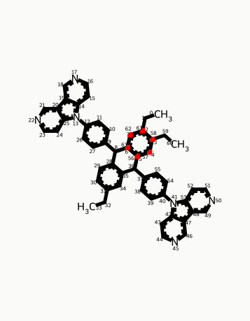 CCc1ccc2c(c1)C1(c3ccc(-n4c5ccncc5c5cnccc54)cc3)c3ccc(CC)cc3C2(c2ccc(-n3c4ccncc4c4cnccc43)cc2)c2cc(CC)ccc21